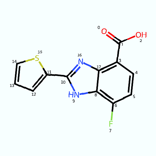 O=C(O)c1ccc(F)c2[nH]c(-c3cccs3)nc12